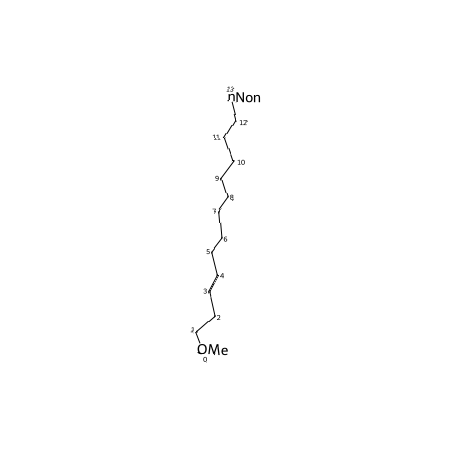 [CH2]OCCCCCCCCCCCCCCCCCCCCC